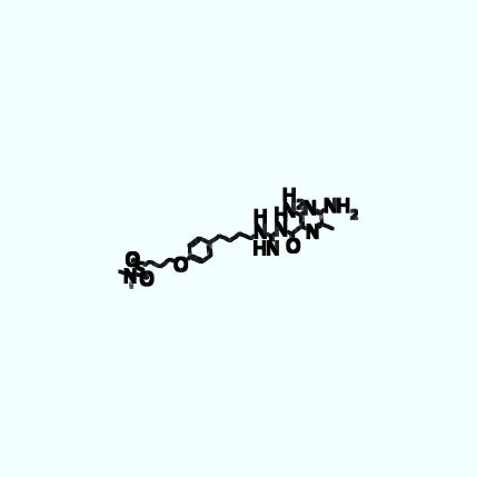 Cc1nc(C(=O)NC(=N)NCCCCc2ccc(OCCCS(=O)(=O)N(C)C)cc2)c(N)nc1N